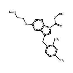 COCCOc1cnc2c(c1)c(Cc1ccc(N)nc1C)cn2C(=O)OC(C)(C)C